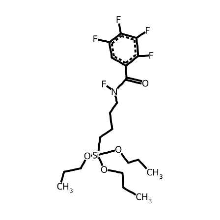 CCCO[Si](CCCCN(F)C(=O)c1cc(F)c(F)c(F)c1F)(OCCC)OCCC